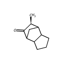 C[C@@H]1C(=O)C2CC1C1CCCC21